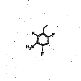 CCc1c(F)cc(F)c(N)c1F